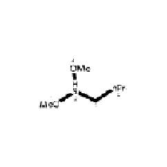 CC[CH]C[SiH](OC)OC